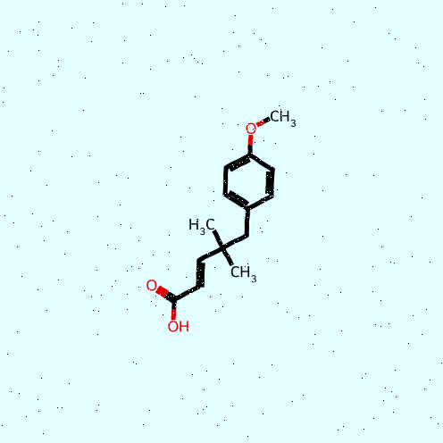 COc1ccc(CC(C)(C)/C=C/C(=O)O)cc1